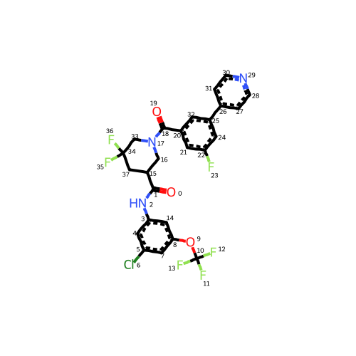 O=C(Nc1cc(Cl)cc(OC(F)(F)F)c1)C1CN(C(=O)c2cc(F)cc(-c3ccncc3)c2)CC(F)(F)C1